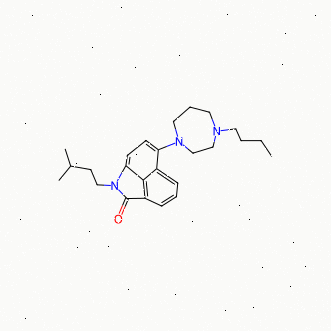 CCCCN1CCCN(c2ccc3c4c(cccc24)C(=O)N3CCC(C)C)CC1